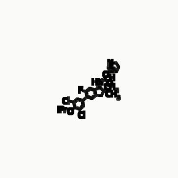 CC(C)Oc1c(Cl)cc(-c2cc3c(cc2F)[C@H](NC(=O)O[C@H]2CN4CCC2CC4)C(C)(C)C3)cc1Cl